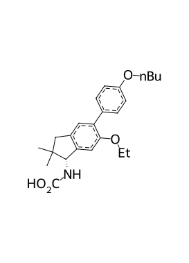 CCCCOc1ccc(-c2cc3c(cc2OCC)[C@H](NC(=O)O)C(C)(C)C3)cc1